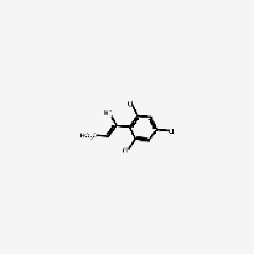 N#CC(=CC(=O)O)c1c(Cl)cc(Cl)cc1Cl